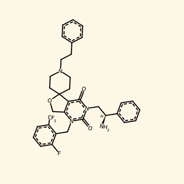 N[C@@H](Cn1c(=O)c2c(n(Cc3c(F)cccc3C(F)(F)F)c1=O)COC21CCN(CCc2ccccc2)CC1)c1ccccc1